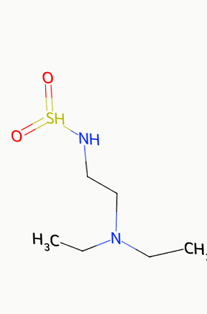 CCN(CC)CCN[SH](=O)=O